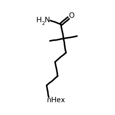 CCCCCCCCCCC(C)(C)C(N)=O